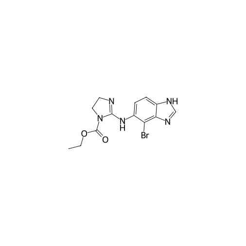 CCOC(=O)N1CCN=C1Nc1ccc2[nH]cnc2c1Br